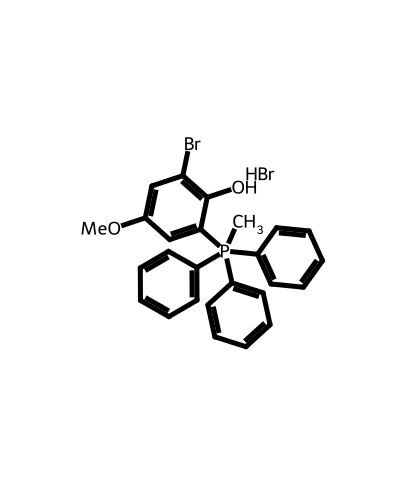 Br.COc1cc(Br)c(O)c(P(C)(c2ccccc2)(c2ccccc2)c2ccccc2)c1